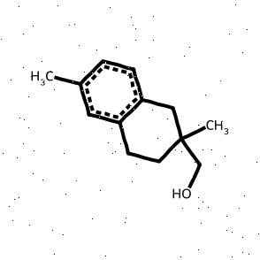 Cc1ccc2c(c1)CCC(C)(CO)C2